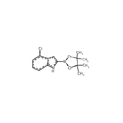 CC1(C)OB(c2cc3c(Cl)cccc3[nH]2)OC1(C)C